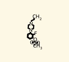 C=CCN1CCN(c2cccc(OS(C)(=O)=O)c2F)CC1